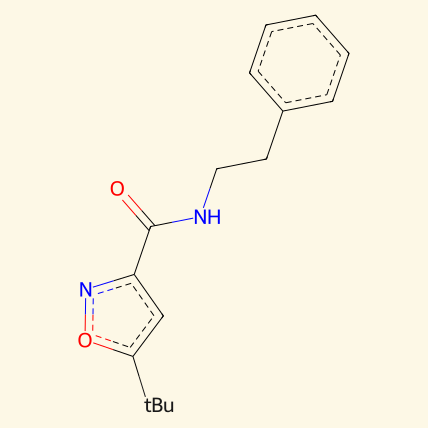 CC(C)(C)c1cc(C(=O)NCCc2ccccc2)no1